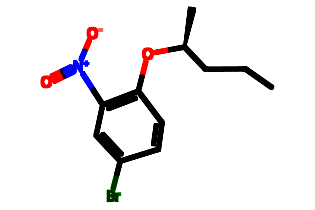 CCC[C@H](C)Oc1ccc(Br)cc1[N+](=O)[O-]